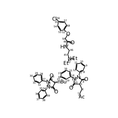 CC(=O)CCC1C(=O)N(c2ccccc2)N(c2ccccc2)C1=O.CCCCC1C(=O)N(c2ccccc2)N(c2ccccc2)C1=O.CCN(CC)CCNC(=O)COc1ccc(Cl)cc1